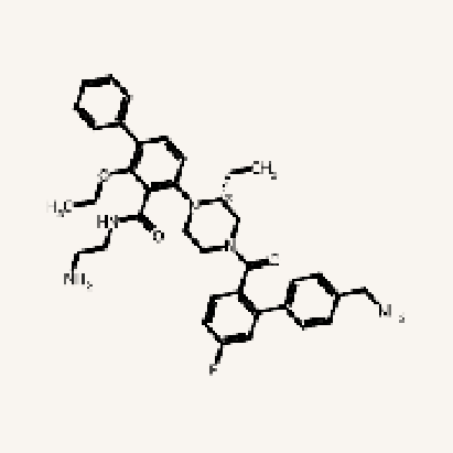 CCOc1c(-c2ccccc2)ccc(N2CCN(C(=O)c3ccc(F)cc3-c3ccc(CN)cc3)C[C@H]2CC)c1C(=O)NCCN